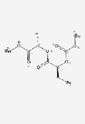 CC(=O)C[C@H](OC(=O)OC(C)(C)C)C(=O)O[C@@H](C)C(=O)OC(C)(C)C